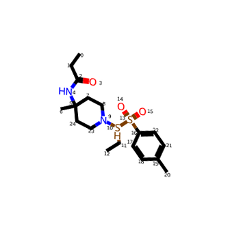 CCC(=O)NC1(C)CCN([SH](CC)S(=O)(=O)c2ccc(C)cc2)CC1